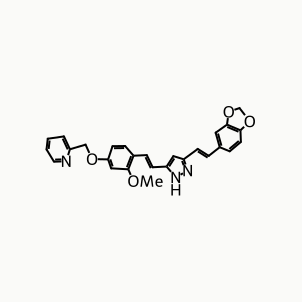 COc1cc(OCc2ccccn2)ccc1C=Cc1cc(C=Cc2ccc3c(c2)OCO3)n[nH]1